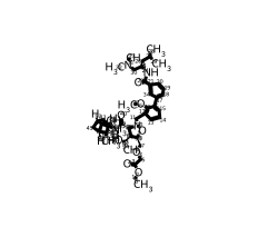 CCOC(=O)COC[C@@H]1ON(Cc2cccc(-c3cccc(C(=O)N[C@H](CC(C)C)CN(C)C)c3)c2OC)[C@@H](C(=O)N[C@H]2C[C@H]3C[C@@H]([C@@H]2C)C3(C)C)[C@@H]1[C@H](C)O